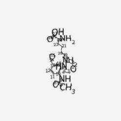 C1COCCN1.CC(=O)Nc1ccc(C=O)cc1.NCCCC[C@H](N)C(=O)O